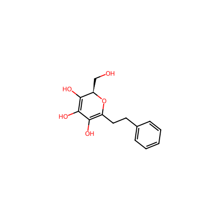 OC[C@H]1OC(CCc2ccccc2)=C(O)C(O)=C1O